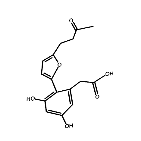 CC(=O)CCc1ccc(-c2c(O)cc(O)cc2CC(=O)O)o1